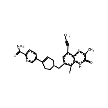 CC#Cc1cc(CN2CC=C(c3ccc(C(=O)NC)nc3)CC2)c(F)c2[nH]c(=O)c(C)nc12